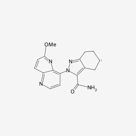 COc1ccc2nccc(-n3nc4c(c3C(N)=O)C[C]CC4)c2n1